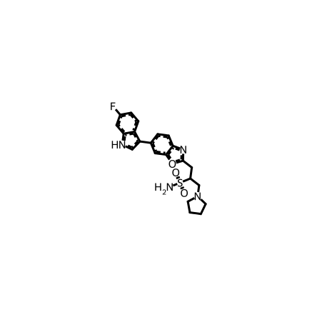 NS(=O)(=O)C(Cc1nc2ccc(-c3c[nH]c4cc(F)ccc34)cc2o1)CN1CCCC1